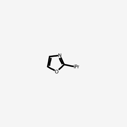 [CH2]C(C)c1ncco1